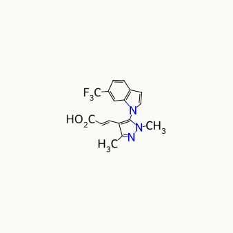 Cc1nn(C)c(-n2ccc3ccc(C(F)(F)F)cc32)c1C=CC(=O)O